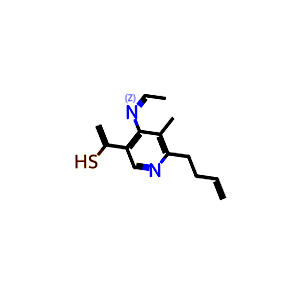 C=CCCc1ncc(C(=C)S)c(/N=C\C)c1C